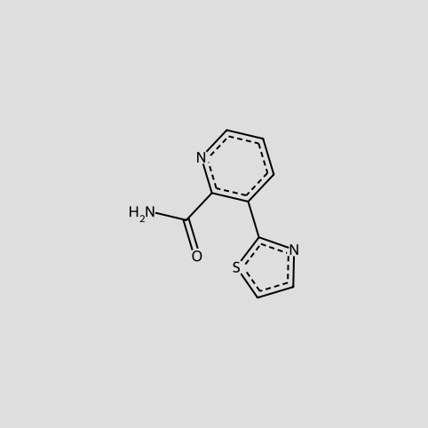 NC(=O)c1ncccc1-c1nccs1